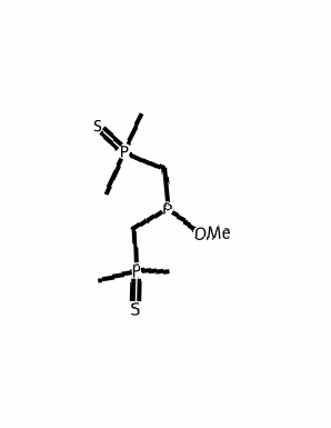 COP(CP(C)(C)=S)CP(C)(C)=S